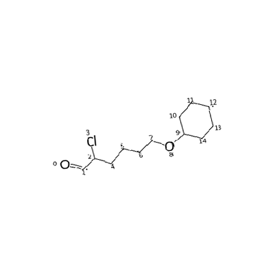 O=[C]C(Cl)CCCCOC1CC[CH]CC1